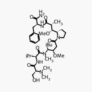 CC[C@H](C)[C@@H]([C@@H](CC(=O)N1CCC[C@H]1[C@H](OC)[C@@H](C)C(=O)N[C@@H](Cc1ccccc1)C(N)=O)OC)N(C)C(=O)[C@@H](NC(=O)[C@H](CO)N(C)C)C(C)C